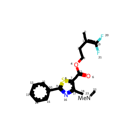 CC(CCOC(=O)c1sc(-c2ccccc2)nc1C)=C(F)F.CNC